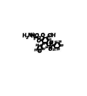 Cl.NCCCOc1c(C(=O)O)ccc(CS(=O)(=O)c2ccccc2)c1-c1ccoc1